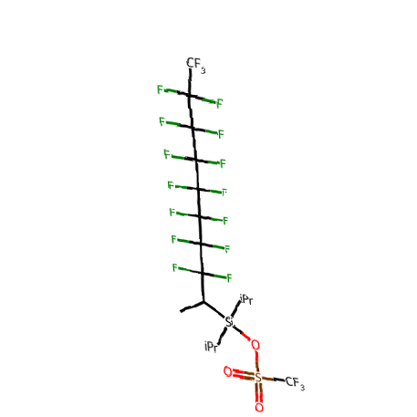 CC(C)[Si](OS(=O)(=O)C(F)(F)F)(C(C)C)C(C)C(F)(F)C(F)(F)C(F)(F)C(F)(F)C(F)(F)C(F)(F)C(F)(F)C(F)(F)F